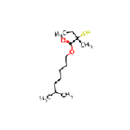 CCC(C)(S)C(=O)OCCCCCC(C)C